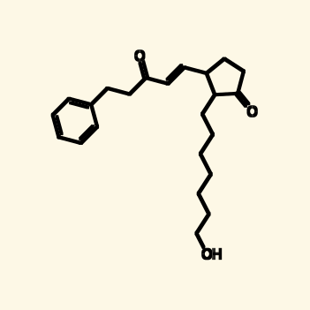 O=C(C=CC1CCC(=O)C1CCCCCCCO)CCc1ccccc1